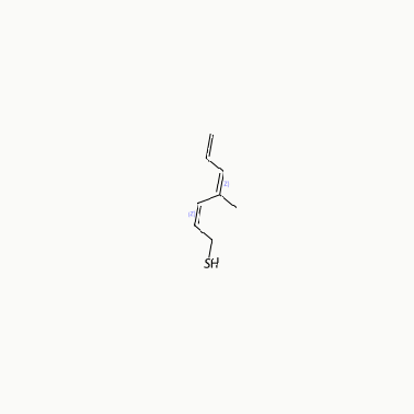 C=C/C=C(C)\C=C/CS